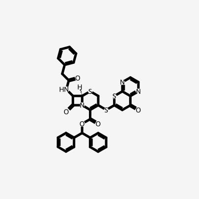 O=C(Cc1ccccc1)NC1C(=O)N2C(C(=O)OC(c3ccccc3)c3ccccc3)=C(Sc3cc(=O)c4nccnc4s3)CS[C@H]12